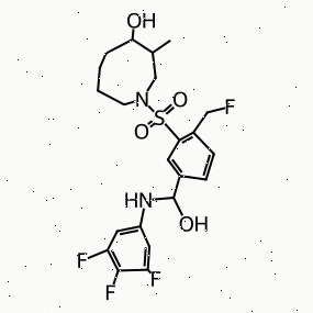 CC1CN(S(=O)(=O)c2cc(C(O)Nc3cc(F)c(F)c(F)c3)ccc2CF)CCCCC1O